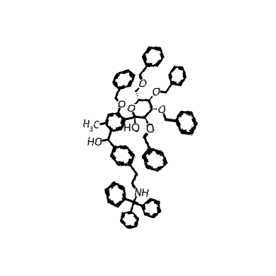 Cc1cc(OCc2ccccc2)c([C@]2(O)O[C@H](COCc3ccccc3)[C@@H](OCc3ccccc3)[C@H](OCc3ccccc3)[C@H]2OCc2ccccc2)cc1C(O)c1ccc(CCNC(c2ccccc2)(c2ccccc2)c2ccccc2)cc1